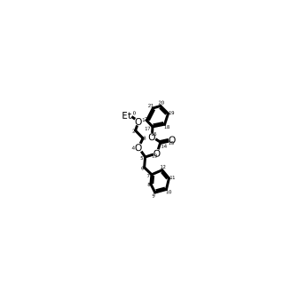 CCOCCOC(Cc1ccccc1)OC(=O)Oc1ccccc1